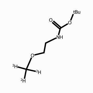 [2H]C([2H])([2H])OCCNC(=O)OC(C)(C)C